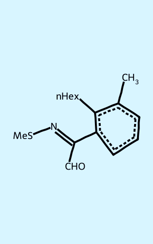 CCCCCCc1c(C)cccc1C(C=O)=NSC